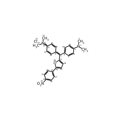 CN(C)c1ccc(C(=C2C=CC(=[N+](C)C)C=C2)c2ccc(-c3ccc([N+](=O)[O-])cc3)o2)cc1.[Cl-]